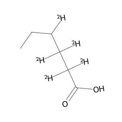 [2H]C(CC)C([2H])([2H])C([2H])([2H])C(=O)O